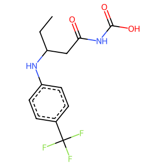 CCC(CC(=O)NC(=O)O)Nc1ccc(C(F)(F)F)cc1